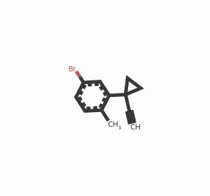 C#CC1(c2cc(Br)ccc2C)CC1